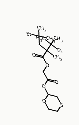 CCC(C)(C)CC(C)(C(=O)OCC(=O)OC1CSCCO1)C(C)(C)CC